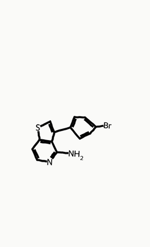 Nc1nccc2scc(-c3ccc(Br)cc3)c12